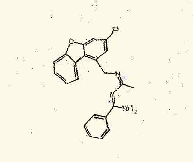 CC(=N/Cc1cc(Cl)cc2oc3ccccc3c12)/N=C(\N)c1ccccc1